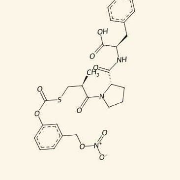 C[C@H](CSC(=O)Oc1cccc(CO[N+](=O)[O-])c1)C(=O)N1CCC[C@H]1C(=O)N[C@H](Cc1ccccc1)C(=O)O